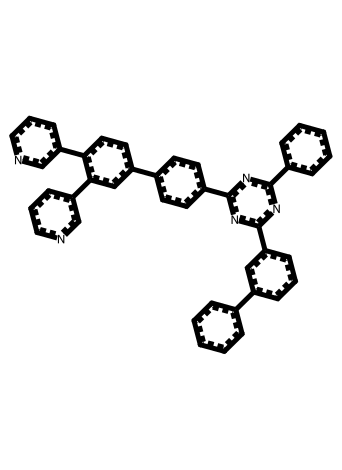 c1ccc(-c2cccc(-c3nc(-c4ccccc4)nc(-c4ccc(-c5ccc(-c6cccnc6)c(-c6cccnc6)c5)cc4)n3)c2)cc1